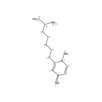 CC(C)(C)n1ccc(=N)nc1OCCCCC(N)C(=O)O